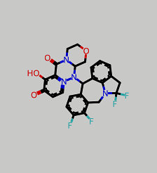 O=C1c2c(O)c(=O)ccn2N(C2c3ccc(F)c(F)c3CN3c4c(cccc42)CC3(F)F)C2COCCN12